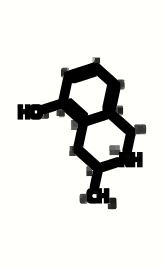 CC1Cc2c(O)cccc2CN1